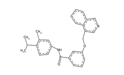 Cc1cc(NC(=O)c2cccc(OCc3cncc4ccccc34)c2)ccc1C(C)C